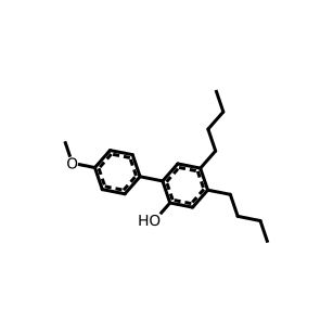 CCCCc1cc(O)c(-c2ccc(OC)cc2)cc1CCCC